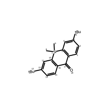 CC(C)(C)c1ccc2c(c1)[Si](C)(C)c1cc(C(C)(C)C)ccc1C2=O